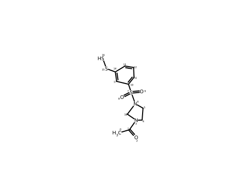 CC(=O)N1CCN(S(=O)(=O)c2cccc(SS)c2)C1